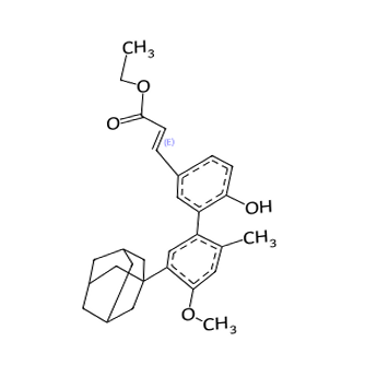 CCOC(=O)/C=C/c1ccc(O)c(-c2cc(C34CC5CC(CC(C5)C3)C4)c(OC)cc2C)c1